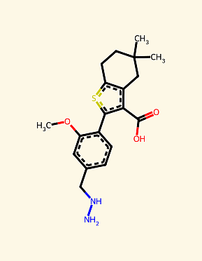 COc1cc(CNN)ccc1-c1sc2c(c1C(=O)O)CC(C)(C)CC2